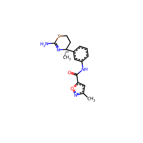 Cc1cc(C(=O)Nc2cccc([C@]3(C)CCSC(N)=N3)c2)on1